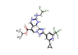 CC(C)OC(=O)/C(=C/n1cnc(-c2cc(C3CC3)nc(C(F)(F)F)c2)n1)c1cnc(NCC(F)F)nc1